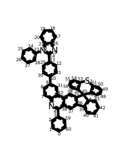 c1ccc(-c2nc3ccc(-c4ccc(-c5nc6ccccc6n5-c5ccccc5)cc4)cc3c3cc4c(cc23)-c2ccccc2C42c3ccccc3Sc3ccccc32)cc1